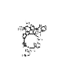 CO[C@@H](C)c1ncc(N2CCN3CCOC[C@@H]3C2)cc1-c1c2c3cc(ccc3n1CC(F)(F)F)-c1csc(n1)C[C@H](NC(=O)OC(C)(C)C)C(=O)N1CCC[C@H](N1)C(=O)OCC(C)(C)C2